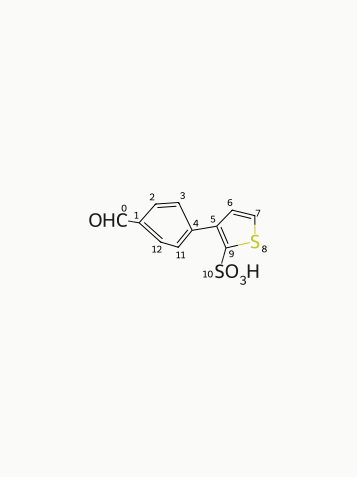 O=Cc1ccc(-c2ccsc2S(=O)(=O)O)cc1